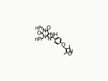 CCCn1c(=O)c2[nH]c(-c3ccc(OCc4c(C)noc4C)cc3)nc2n(CCC)c1=O